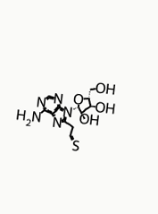 Nc1ncnc2c1nc(CC=S)n2[C@@H]1O[C@H](CO)[C@@H](O)[C@H]1O